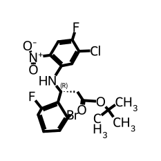 CC(C)(C)OC(=O)C[C@@H](Nc1cc(Cl)c(F)cc1[N+](=O)[O-])c1c(F)cccc1Br